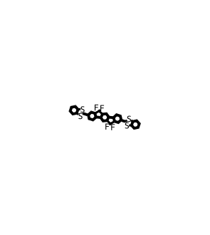 FC1(F)c2cc(=C3Sc4ccccc4S3)ccc2=c2cc3c(cc21)=c1ccc(=C2Sc4ccccc4S2)cc1C3(F)F